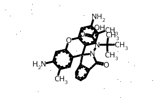 Cc1cc2c(cc1N)Oc1cc(N)c(C)cc1C21c2ccccc2C(=O)N1N(C(=O)O)C(C)(C)C